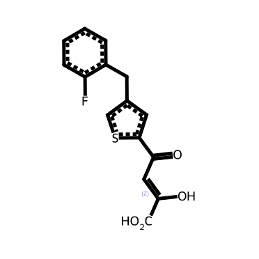 O=C(O)/C(O)=C/C(=O)c1cc(Cc2ccccc2F)cs1